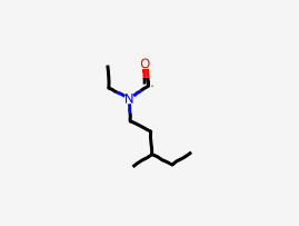 CCC(C)CCN([C]=O)CC